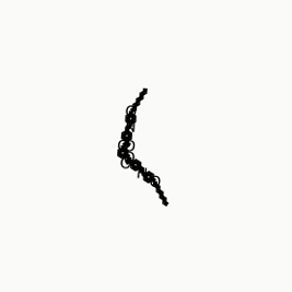 CCCCCCCCOc1ccc(/N=C/c2ccc(C(=O)Oc3cccc(OC(=O)c4ccc(/C=N/c5ccc(OCCCCCCCC)cc5)cc4)c3)cc2)cc1